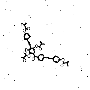 C=C(C)C(=O)Oc1ccc(C#Cc2ccc(C(=O)c3cc(OC(=O)C(=C)C)c(C#Cc4ccc(OC(=O)C(=C)F)cc4)c(F)c3OC(=O)C(C)=O)cc2)cc1